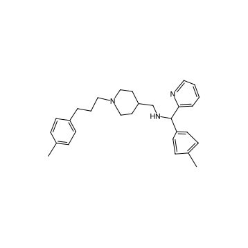 Cc1ccc(CCCN2CCC(CNC(c3ccc(C)cc3)c3ccccn3)CC2)cc1